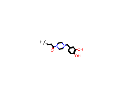 CCCC(=O)N1CCN(Cc2ccc(O)c(O)c2)CC1